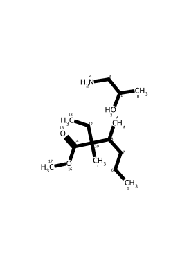 CC(O)CN.CCCC(C)C(C)(CC)C(=O)OC